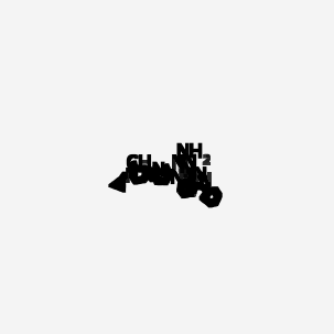 CC1CN(c2ccc(Nc3nc(N)nn3-c3nnc(-c4ccccc4)c4c3C3CCC4CC3)cn2)CCN1CC1CC1